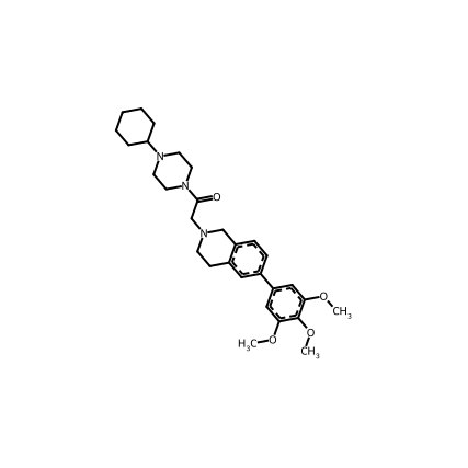 COc1cc(-c2ccc3c(c2)CCN(CC(=O)N2CCN(C4CCCCC4)CC2)C3)cc(OC)c1OC